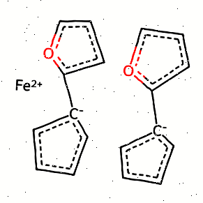 [Fe+2].c1coc(-[c-]2cccc2)c1.c1coc(-[c-]2cccc2)c1